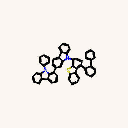 c1ccc(-c2ccccc2-c2ccc(-n3c4ccccc4c4ccc(-c5cccc6c7ccccc7n(-c7ccccc7)c56)cc43)c3sc4ccccc4c23)cc1